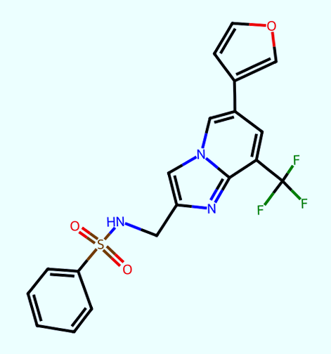 O=S(=O)(NCc1cn2cc(-c3ccoc3)cc(C(F)(F)F)c2n1)c1ccccc1